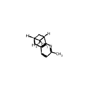 Cc1ccc2c(n1)[C@H]1C[C@@H](C2)C1(C)C